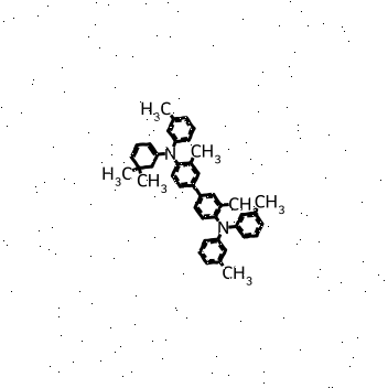 Cc1cccc(N(C2=CC=CC(C)(C)C2)c2ccc(-c3ccc(N(c4cccc(C)c4)c4cccc(C)c4)c(C)c3)cc2C)c1